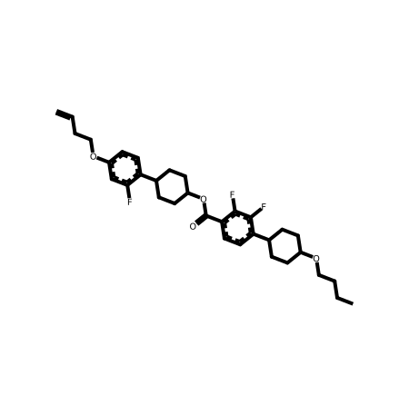 C=CCCOc1ccc(C2CCC(OC(=O)c3ccc(C4CCC(OCCCC)CC4)c(F)c3F)CC2)c(F)c1